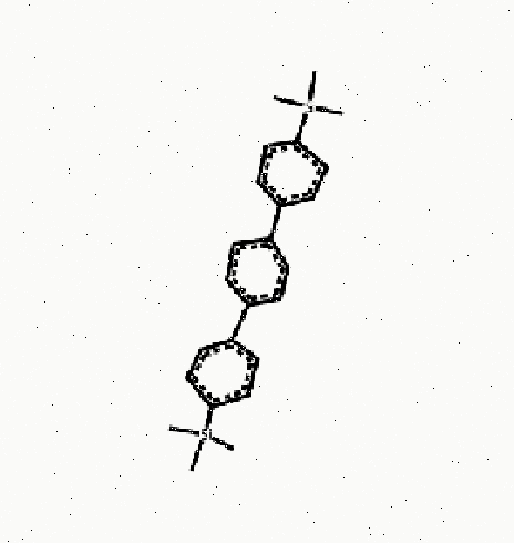 C[Si](C)(C)c1ccc(-c2ccc(-c3ccc([Si](C)(C)C)cc3)cc2)cc1